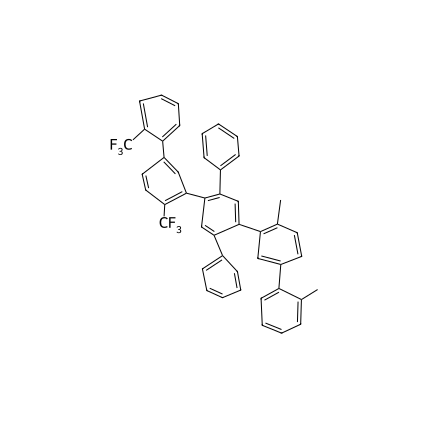 Cc1ccccc1-c1ccc(C)c(-c2cc(-c3ccccc3)c(-c3cc(-c4ccccc4C(F)(F)F)ccc3C(F)(F)F)cc2-c2ccccc2)c1